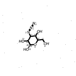 [N-]=[N+]=NC1C(O)C(CO)O[C@@H](O)C1O